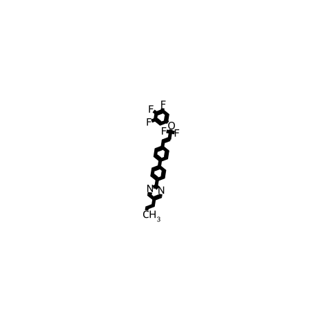 CCCc1cnc(-c2ccc(-c3ccc(/C=C/C(F)(F)Oc4cc(F)c(F)c(F)c4)cc3)cc2)nc1